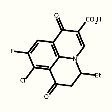 CCC1CC(=O)c2c(Cl)c(F)cc3c(=O)c(C(=O)O)cn1c23